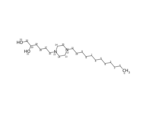 CCCCCCCCCCCCN1CCN(CCCCC(O)CO)CC1